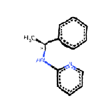 C[C@H](Nc1ccccn1)c1ccccc1